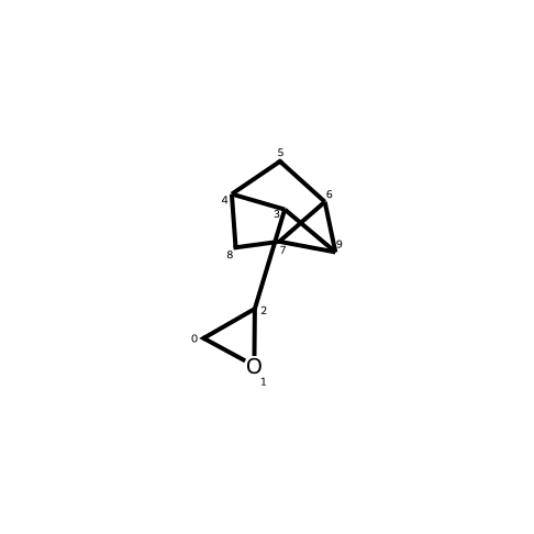 C1OC1C1C2CC3C(C2)C31